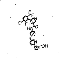 O=C(Nc1cnn(Cc2ccc(N3CC[C@H]3CO)nc2)c1)c1cncc(-c2c(C(F)F)ccc(Cl)c2F)n1